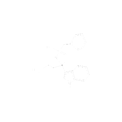 CC(CCC(=O)O)(NP(=O)(O)Cc1ccccc1)c1c[nH]c2ccccc12